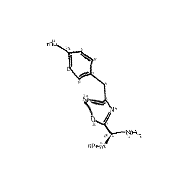 CCCCC[C@H](N)c1nc(Cc2ccc(C(C)(C)C)cc2)no1